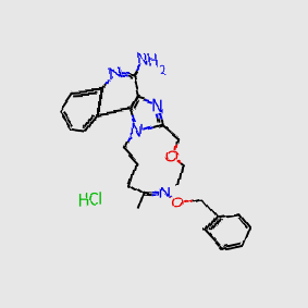 CCOCc1nc2c(N)nc3ccccc3c2n1CCCC(C)=NOCc1ccccc1.Cl